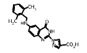 Cc1cccc(C)c1CNc1ccc2nc(-n3cc(C(=O)O)cn3)[nH]c(=O)c2c1